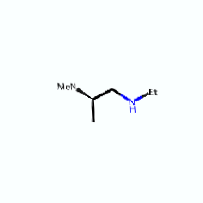 CCNC[C@@H](C)NC